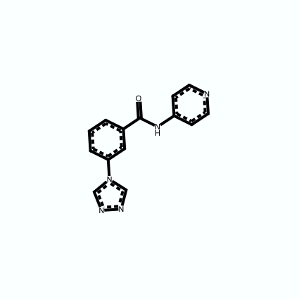 O=C(Nc1ccncc1)c1cccc(-n2cnnc2)c1